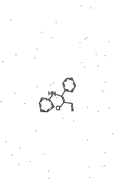 C=CC(Cl)=C(Nc1ccccc1)c1ccccc1